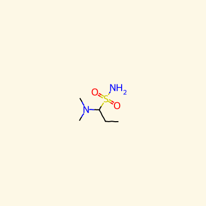 CCC(N(C)C)S(N)(=O)=O